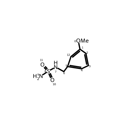 COc1cccc(CNS(N)(=O)=O)c1